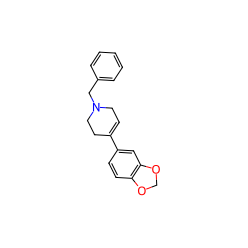 C1=C(c2ccc3c(c2)OCO3)CCN(Cc2ccccc2)C1